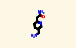 NCc1ccc(CC(N)=O)nc1